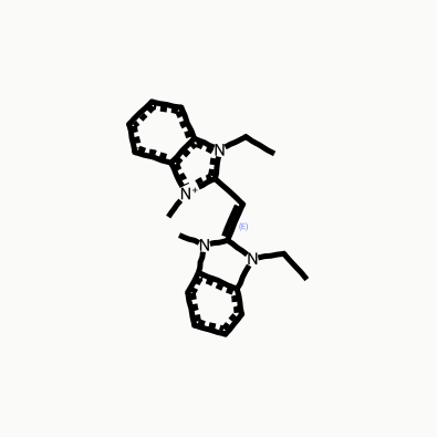 CCN1/C(=C/c2n(CC)c3ccccc3[n+]2C)N(C)c2ccccc21